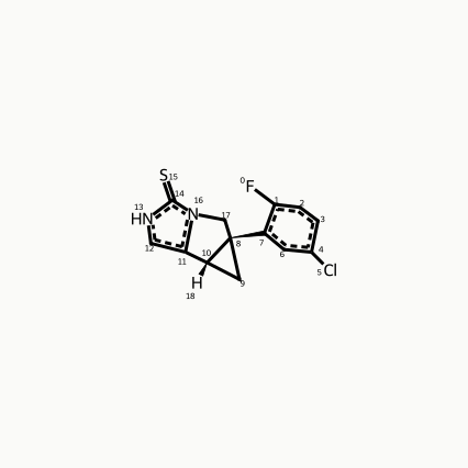 Fc1ccc(Cl)cc1[C@@]12C[C@@H]1c1c[nH]c(=S)n1C2